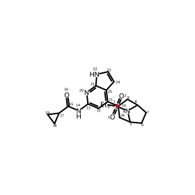 CCS(=O)(=O)N1C2CCC1CC(c1cc(NC(=O)C3CC3)nc3[nH]ccc13)C2